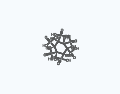 O=P(O)(O)[C@]1(O)[C@@](O)(P(=O)(O)O)[C@](O)(P(=O)(O)O)[C@@](O)(P(=O)(O)O)[C@](O)(P(=O)(O)O)[C@]1(O)P(=O)(O)O